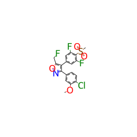 COc1cc(-c2noc(CF)c2-c2cc(F)c(S(C)(=O)=O)c(F)c2)ccc1Cl